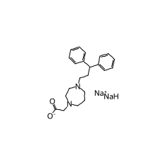 O=C([O-])CN1CCCN(CCC(c2ccccc2)c2ccccc2)CC1.[Na+].[NaH]